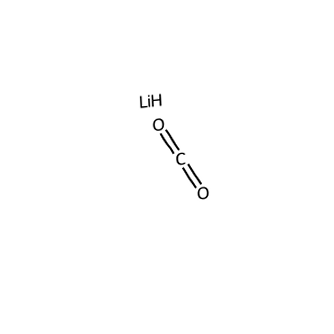 O=C=O.[LiH]